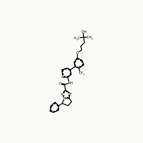 CC(C)(O)CCCOc1ccc(C(F)(F)F)c(-c2ccnc(NC(=O)c3nc4n(n3)C(c3ccccc3)CC4)c2)c1